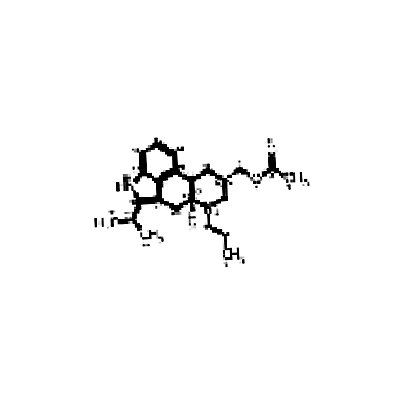 CCCN1C[C@H](COC(C)=O)CC2c3cccc4[nH]c(C(C)C)c(c34)C[C@H]21